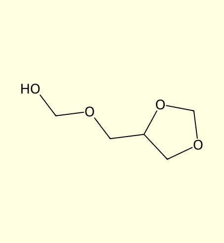 OCOCC1COCO1